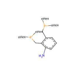 CCCCCCP(CCCCCC)Cc1cccc(N)c1CP(CCCCCC)CCCCCC